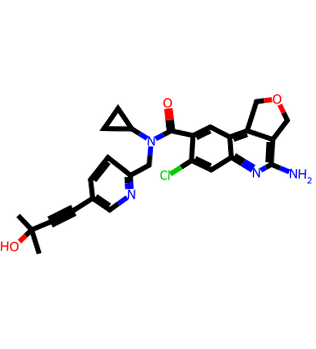 CC(C)(O)C#Cc1ccc(CN(C(=O)c2cc3c4c(c(N)nc3cc2Cl)COC4)C2CC2)nc1